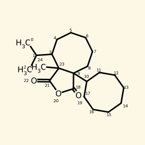 CC(C)C1CCCCCC2(C3CCCCCCC3)C(=O)OC(=O)C12C